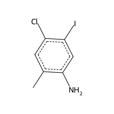 Cc1cc(Cl)c(I)cc1N